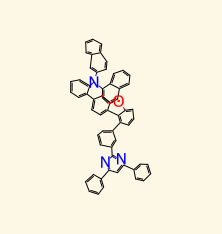 c1ccc(-c2cc(-c3ccccc3)nc(-c3cccc(-c4cccc5oc6cc(-c7ccccc7N(c7ccc8ccccc8c7)c7cccc8ccccc78)ccc6c45)c3)n2)cc1